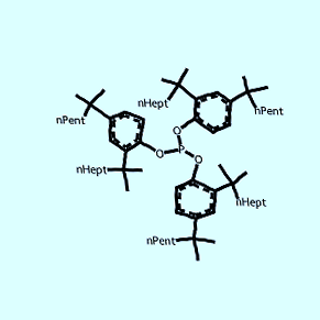 CCCCCCCC(C)(C)c1cc(C(C)(C)CCCCC)ccc1OP(Oc1ccc(C(C)(C)CCCCC)cc1C(C)(C)CCCCCCC)Oc1ccc(C(C)(C)CCCCC)cc1C(C)(C)CCCCCCC